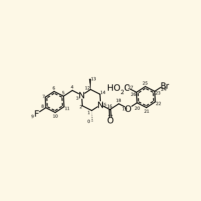 C[C@@H]1CN(Cc2ccc(F)cc2)[C@@H](C)CN1C(=O)COc1ccc(Br)cc1C(=O)O